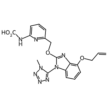 C=CCOc1cccc2c1nc(OCc1cccc(NC(=O)O)n1)n2-c1nnnn1C